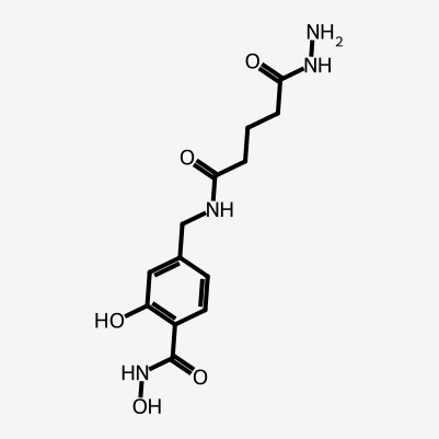 NNC(=O)CCCC(=O)NCc1ccc(C(=O)NO)c(O)c1